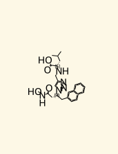 CC(C)C[C@H](NCc1cn([C@@H](CC(=O)NO)Cc2ccc3ccccc3c2)nn1)C(=O)O